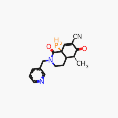 C[C@H]1C(=O)C(C#N)=C[C@@]2(P)C(=O)N(Cc3cccnc3)CCC12